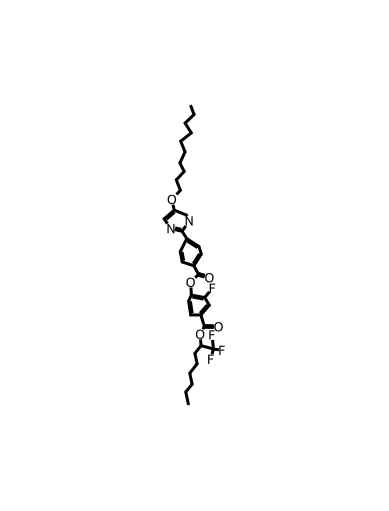 CCCCCCCCCCOc1cnc(-c2ccc(C(=O)Oc3ccc(C(=O)OC(CCCCCC)C(F)(F)F)cc3F)cc2)nc1